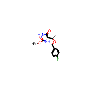 C[C@H](OCc1ccc(F)cc1)[C@H](NC(=O)OC(C)(C)C)C(N)=O